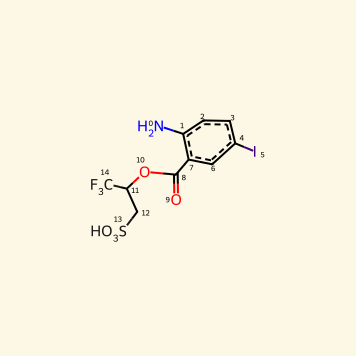 Nc1ccc(I)cc1C(=O)OC(CS(=O)(=O)O)C(F)(F)F